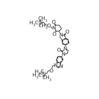 C[Si](C)(C)CCOCN1C(=O)CCC(N2Cc3cc(N4CCN(c5ccc6c(c5)ncn6COCC[Si](C)(C)C)C4=O)ccc3C2=O)C1=O